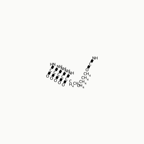 C.C.C.C.C.C.N=C=O.N=C=O.N=C=O.N=C=O.N=C=O.N=C=O